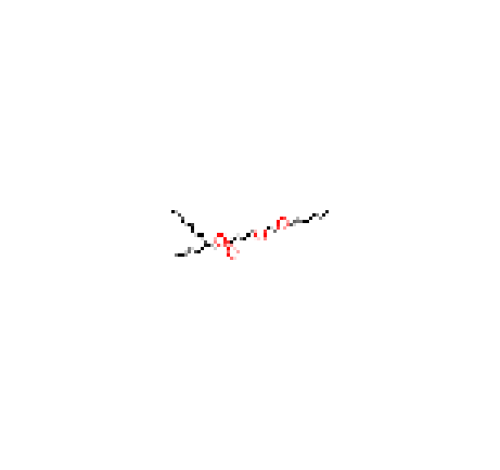 CCCCCCOCCOCCCC(=O)OCC(CCCC)CCCCCC